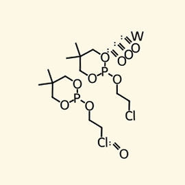 CC1(C)COP(OCCCl)OC1.CC1(C)COP(OCCCl)OC1.[C]=O.[C]=O.[C]=O.[C]=O.[W]